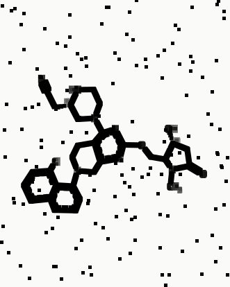 CN1C(=O)C[C@@H](O)C1COc1nc2c(c(N3CCN[C@@H](CC#N)C3)n1)CCN(c1cccc3cccc(Cl)c13)C2